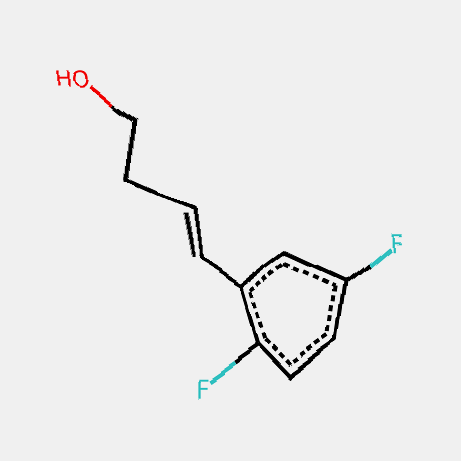 OCCC=Cc1cc(F)ccc1F